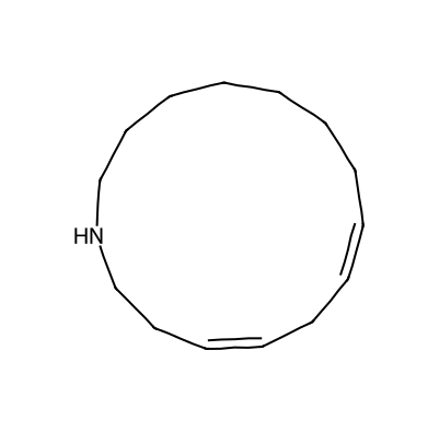 C1=CCCCCCCCNCCC=CC1